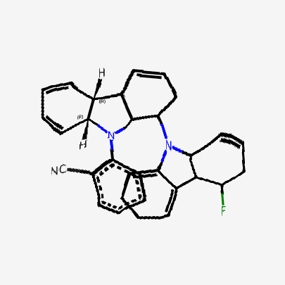 N#Cc1ccccc1N1C2C(C=CCC2N2C3=CCCC=C3C3C(F)CC=CC32)[C@H]2C=CC=C[C@H]21